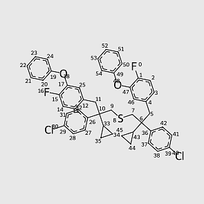 Fc1ccc(CC(CSCC(Cc2ccc(F)c(Oc3ccccc3)c2)(c2ccc(Cl)cc2)C2CC2)(c2ccc(Cl)cc2)C2CC2)cc1Oc1ccccc1